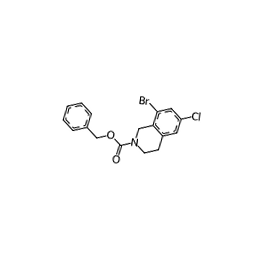 O=C(OCc1ccccc1)N1CCc2cc(Cl)cc(Br)c2C1